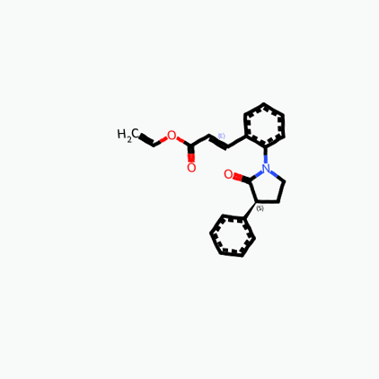 C=COC(=O)/C=C/c1ccccc1N1CC[C@@H](c2ccccc2)C1=O